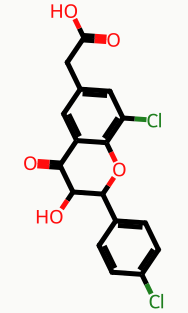 O=C(O)Cc1cc(Cl)c2c(c1)C(=O)C(O)C(c1ccc(Cl)cc1)O2